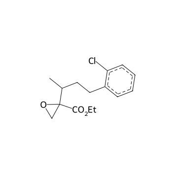 CCOC(=O)C1(C(C)CCc2ccccc2Cl)CO1